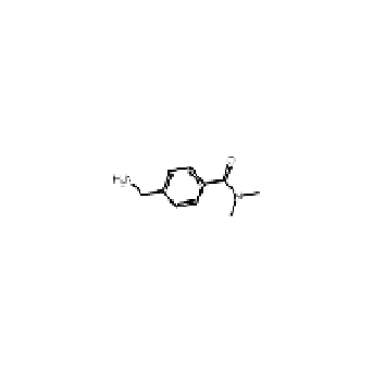 CN(C)C(=O)c1ccc(CN)cc1